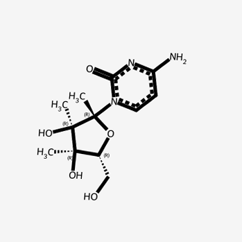 C[C@]1(O)[C@](C)(n2ccc(N)nc2=O)O[C@H](CO)[C@@]1(C)O